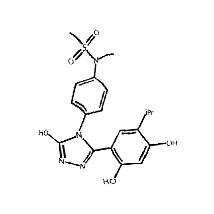 CC(C)c1cc(-c2nnc(O)n2-c2ccc(N(C)S(C)(=O)=O)cc2)c(O)cc1O